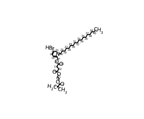 Br.C=C(C)C(=O)OCCOC(=O)CCC(=O)OCC1=CC=CCN1CCCCCCCCCCCCCCCCCC